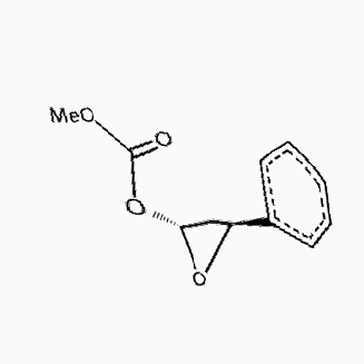 COC(=O)O[C@H]1O[C@@H]1c1ccccc1